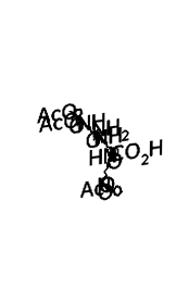 CC(=O)Oc1cccc(C(=O)NCCCC(N)C(=O)NCCCC[C@@H](NC(=O)CCCCCN(OC(=O)c2ccccc2)C(C)=O)C(=O)O)c1OC(C)=O